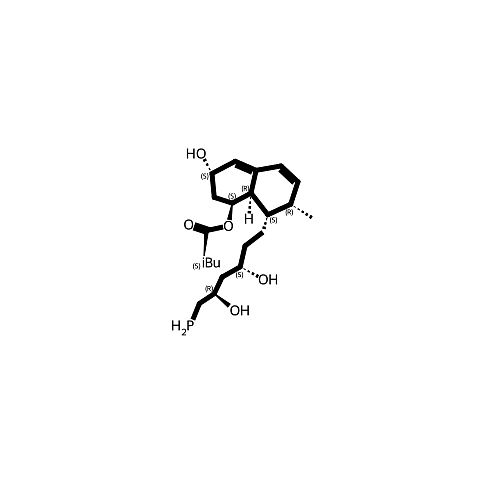 CC[C@H](C)C(=O)O[C@H]1C[C@H](O)C=C2C=C[C@H](C)[C@H](CC[C@H](O)C[C@@H](O)CP)[C@H]21